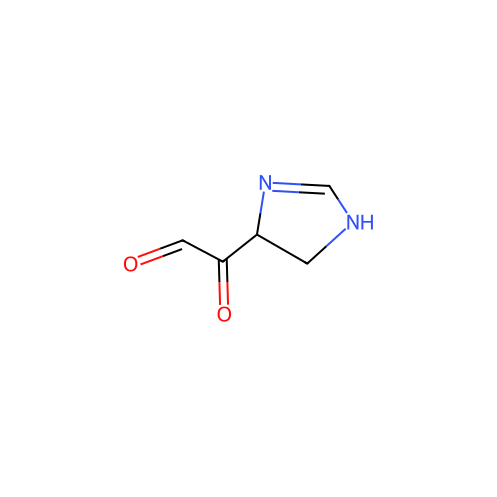 O=CC(=O)C1CNC=N1